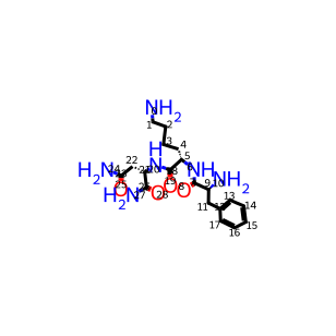 NCCCC[C@H](NC(=O)[C@@H](N)Cc1ccccc1)C(=O)N[C@@H](CC(N)=O)C(N)=O